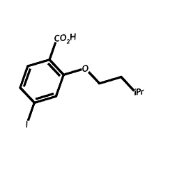 CC(C)CCOc1cc(I)ccc1C(=O)O